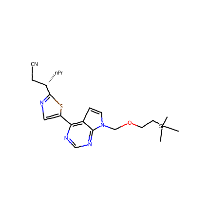 CCC[C@@H](CC#N)c1ncc(-c2ncnc3c2ccn3COCC[Si](C)(C)C)s1